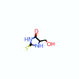 O=C1NC(=S)NC1CO